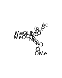 COc1ccc(C(=O)N2CCN(c3nc(NC(=O)C4CCCN4C(=O)C(C)CSC(C)=O)c4cc(OC)c(OC)cc4n3)CC2)cc1